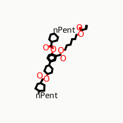 C=CC(=O)OCCCCCCOC(=O)c1cc(C2CCC(OC(=O)C3CCC(CCCCC)CC3)CC2)ccc1OC(=O)C1CCC(CCCCC)CC1